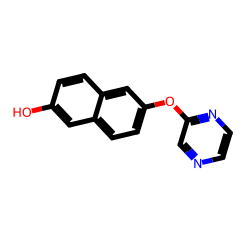 Oc1ccc2cc(Oc3cnccn3)ccc2c1